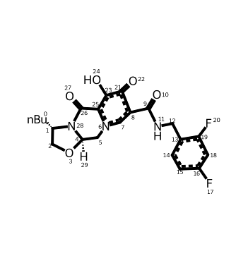 CCCC[C@H]1CO[C@@H]2Cn3cc(C(=O)NCc4ccc(F)cc4F)c(=O)c(O)c3C(=O)N12